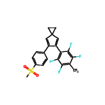 CS(=O)(=O)c1ccc(C2=CC3(C=C2c2c(F)c(F)c(C(F)(F)F)c(F)c2F)CC3)cc1